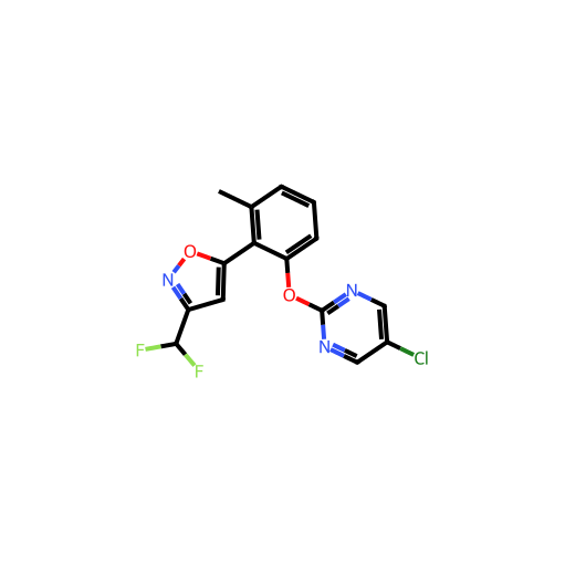 Cc1cccc(Oc2ncc(Cl)cn2)c1-c1cc(C(F)F)no1